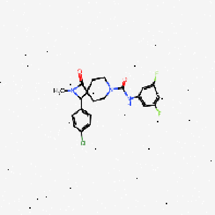 CN1C(=O)C2(CCN(C(=O)Nc3cc(F)cc(F)c3)CC2)C1c1ccc(Cl)cc1